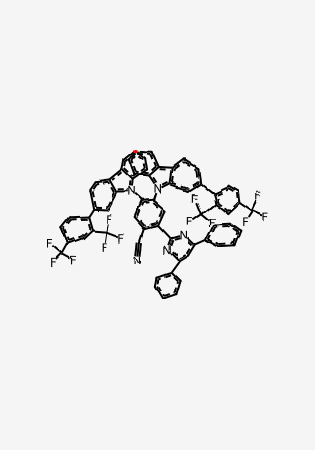 N#Cc1cc(-n2c3ccccc3c3ccc(-c4ccc(C(F)(F)F)cc4C(F)(F)F)cc32)c(-n2c3ccccc3c3ccc(-c4ccc(C(F)(F)F)cc4C(F)(F)F)cc32)cc1-c1nc(-c2ccccc2)cc(-c2ccccc2)n1